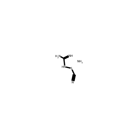 N.N#CSNC(=N)N